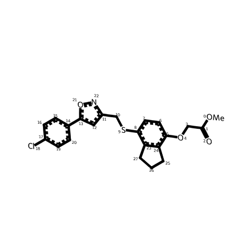 COC(=O)COc1ccc(SCc2cc(-c3ccc(Cl)cc3)on2)c2c1CCC2